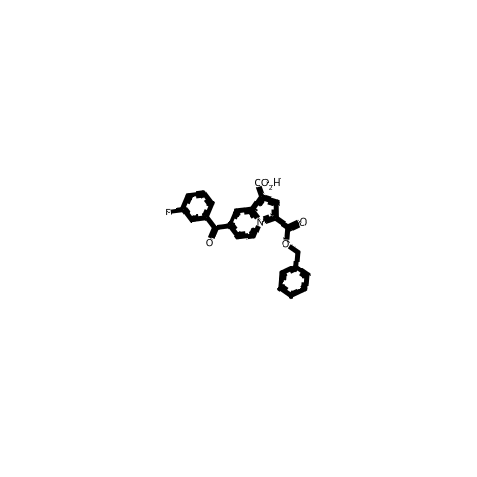 O=C(c1cccc(F)c1)c1ccn2c(C(=O)OCc3ccccc3)cc(C(=O)O)c2c1